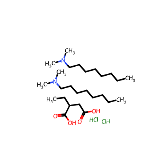 CCC(CC(=O)O)C(=O)O.CCCCCCCCN(C)C.CCCCCCCCN(C)C.Cl.Cl